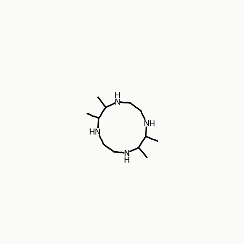 CC1NCCNC(C)C(C)NCCNC1C